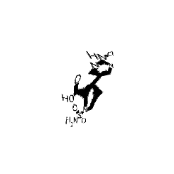 NS(=O)(=O)n1ccc(-c2cnc(NCl)nc2)c1C(=O)O